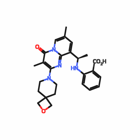 Cc1cc([C@@H](C)Nc2ccccc2C(=O)O)c2nc(N3CCC4(CC3)COC4)c(C)c(=O)n2c1